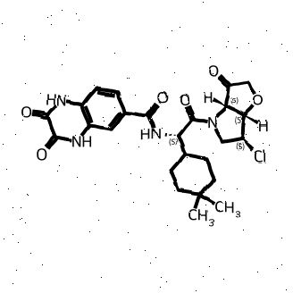 CC1(C)CCC([C@H](NC(=O)c2ccc3[nH]c(=O)c(=O)[nH]c3c2)C(=O)N2C[C@H](Cl)[C@H]3OCC(=O)[C@H]32)CC1